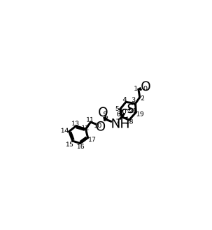 O=CCC12CCC(NC(=O)OCc3ccccc3)(CC1)CS2